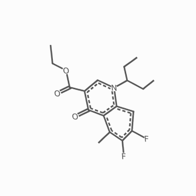 CCOC(=O)c1cn(C(CC)CC)c2cc(F)c(F)c(C)c2c1=O